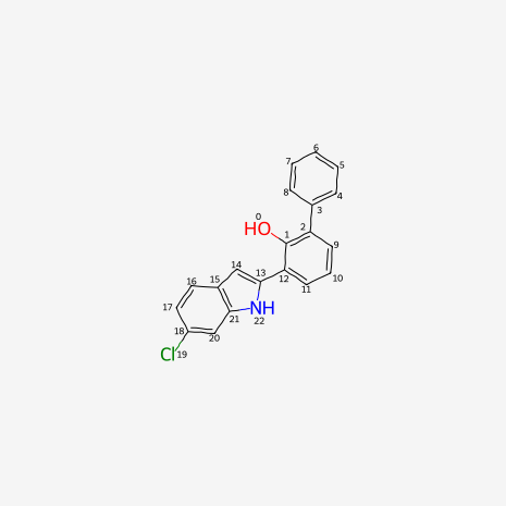 Oc1c(-c2ccccc2)cccc1-c1cc2ccc(Cl)cc2[nH]1